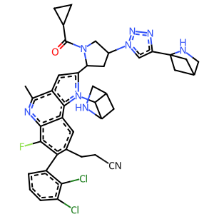 Cc1nc2c(F)c(-c3cccc(Cl)c3Cl)c(CCC#N)cc2c2c1cc(C1CC(n3cc(C45CC(CN4)C5)nn3)CN1C(=O)C1CC1)n2C1C2CNC1C2